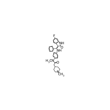 CN1CCC(CC(=O)N(C)c2ccc(N/C(=C3\C(=O)Nc4cc(F)ccc43)c3ccccc3)cc2)CC1